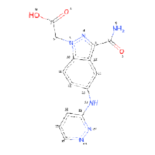 NC(=O)c1nn(CC(=O)O)c2ccc(Nc3cccnn3)cc12